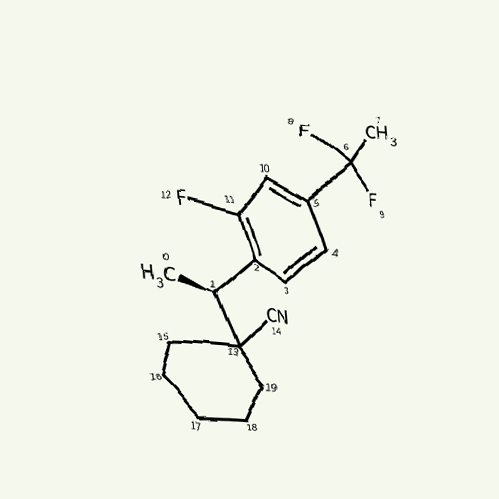 C[C@@H](c1ccc(C(C)(F)F)cc1F)C1(C#N)CCCCC1